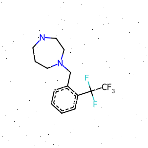 FC(F)(F)C(F)(F)c1ccccc1CN1CCC[N]CC1